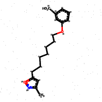 Cc1cc(CCCCCCCOc2cccc(C(=O)O)c2)on1